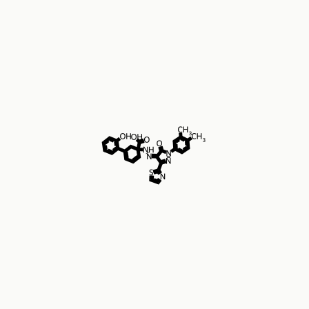 Cc1ccc(N2N=C(c3nccs3)/C(=N/NC3(C(=O)O)C=CC=C(c4ccccc4O)C3)C2=O)cc1C